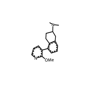 COc1ncccc1-c1cccc2c1CCC(N(C)C)C2